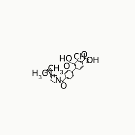 Cc1c(C(=O)O)ccc(-c2ccc(C(=O)N3CC[C@@H](N(C)C)C3)cc2)c1C(=O)O